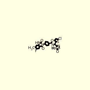 Cc1cc2[nH]c(=O)n(-c3ccc(C(=O)NC(c4nsc(=O)[nH]4)c4ccc(Cl)s4)cc3)c(=O)c2cc1F